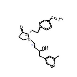 Cc1cccc(CC(O)/C=C/[C@H]2CCC(=O)[C@@H]2CCc2ccc(C(=O)O)cc2)c1